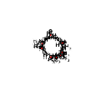 CCCC[C@H]1C(=O)N(C)[C@@H](CCCC)C(=O)N[C@@H](CC(C)C)C(=O)NCCSCC(=O)N[C@@H](Cc2ccc(O)cc2)C(=O)N(C)[C@@H](C)C(=O)N[C@@H](CC(N)=O)C(=O)N2CCCC2C(=O)N[C@@H](CNc2cnc3ccccc3n2)C(=O)NCC(=O)N2CCCC2C(=O)N[C@@H](Cc2c[nH]c3ccccc23)C(=O)NC(N)C(=O)N[C@@H](Cc2cn(CC(=O)O)c3ccccc23)C(=O)N1C